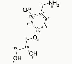 NCc1ccc(OC[C@H](O)CO)cc1Cl